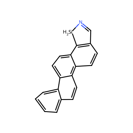 C1=N[SiH2]c2c1ccc1c2ccc2c3ccccc3ccc12